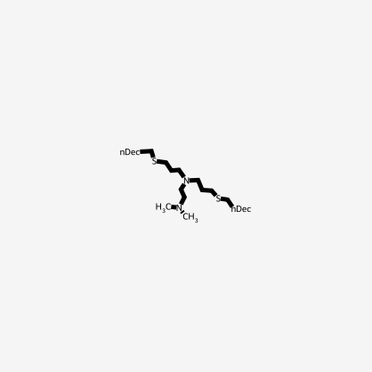 CCCCCCCCCCCSCCCN(CCCSCCCCCCCCCCC)CCN(C)C